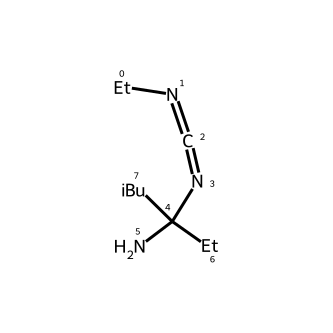 CCN=C=NC(N)(CC)C(C)CC